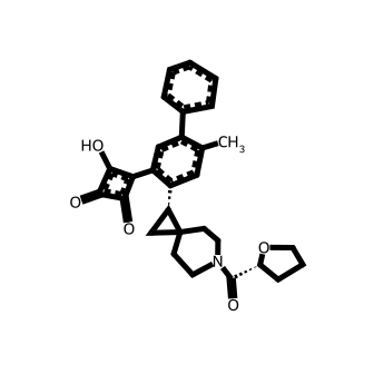 Cc1cc([C@H]2CC23CCN(C(=O)[C@H]2CCCO2)CC3)c(-c2c(O)c(=O)c2=O)cc1-c1ccccc1